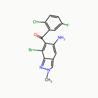 Cn1cc2cc(N)c(C(=O)c3cc(F)ccc3Cl)c(Br)c2n1